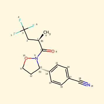 C[C@H](CC(F)(F)F)C(=O)N1OCC[C@H]1c1ccc(C#N)cc1